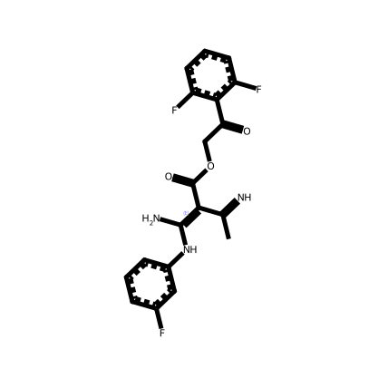 CC(=N)/C(C(=O)OCC(=O)c1c(F)cccc1F)=C(/N)Nc1cccc(F)c1